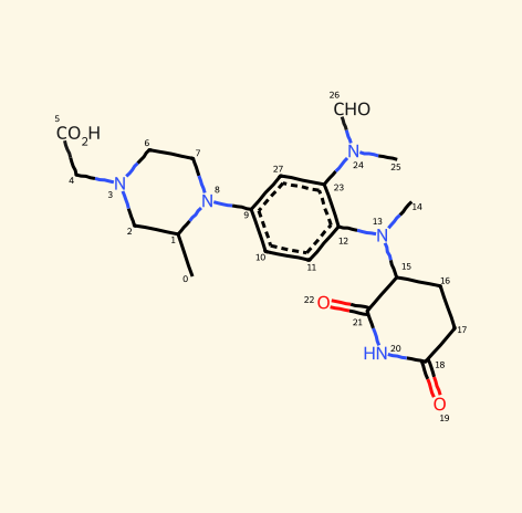 CC1CN(CC(=O)O)CCN1c1ccc(N(C)C2CCC(=O)NC2=O)c(N(C)C=O)c1